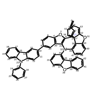 C=C/C=C\c1oc2ccc(-c3ccc4c(c3)c3ccccc3n4-c3ccccc3)cc2c1N(c1cccc2oc3ccccc3c12)c1cccc2oc3ccccc3c12